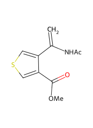 C=C(NC(C)=O)c1cscc1C(=O)OC